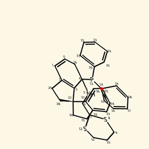 C1=CC2=C(C(NCC3SCCCS3)(P(c3ccccc3)c3ccccc3)C1)[C@@]1(CC2)CCc2ccccc21